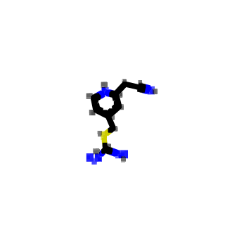 N#CCc1cc(CSC(=N)N)ccn1